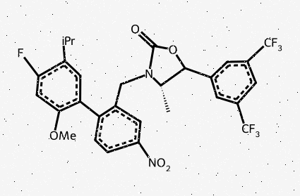 COc1cc(F)c(C(C)C)cc1-c1ccc([N+](=O)[O-])cc1CN1C(=O)OC(c2cc(C(F)(F)F)cc(C(F)(F)F)c2)[C@@H]1C